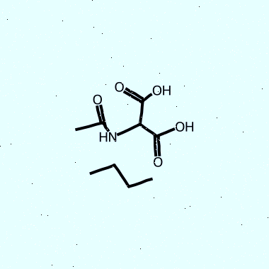 CC(=O)NC(C(=O)O)C(=O)O.CCCC